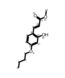 CCCCOc1ccc(C=CC(=O)OC)c(O)c1